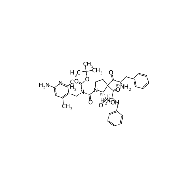 Cc1cc(N)nc(C)c1CN(C(=O)OC(C)(C)C)C(=O)N1CCC(C(=O)[C@H](N)Cc2ccccc2)(C(=O)[C@H](N)Cc2ccccc2)[C@@H]1C(=O)O